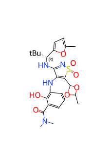 Cc1ccc([C@H](NC2=NS(=O)(=O)C(C3OC(C)O3)=C2Nc2cccc(C(=O)N(C)C)c2O)C(C)(C)C)o1